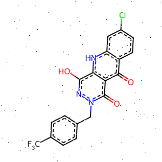 O=c1c2ccc(Cl)cc2[nH]c2c(O)nn(Cc3ccc(C(F)(F)F)cc3)c(=O)c12